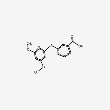 COc1cc(OC)nc(Oc2cccc(C(=O)O)c2)n1